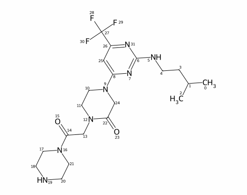 CC(C)CCNc1nc(N2CCN(CC(=O)N3CCNCC3)C(=O)C2)cc(C(F)(F)F)n1